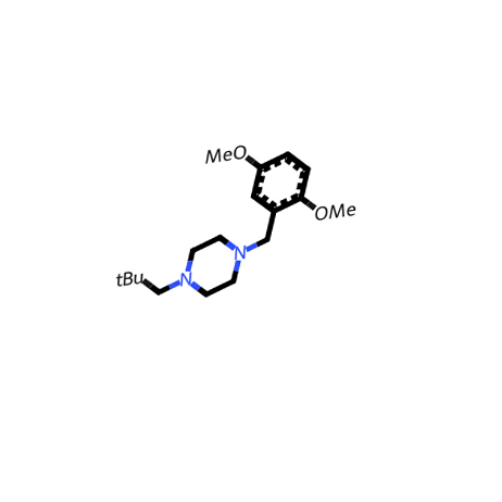 COc1ccc(OC)c(CN2CCN(CC(C)(C)C)CC2)c1